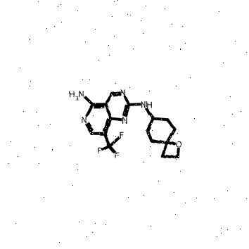 Nc1ncc(C(F)(F)F)c2nc(NC3CCC4(CCO4)CC3)ncc12